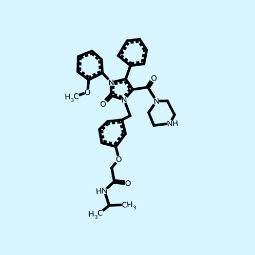 COc1ccccc1-n1c(-c2ccccc2)c(C(=O)N2CCNCC2)n(Cc2cccc(OCC(=O)NC(C)C)c2)c1=O